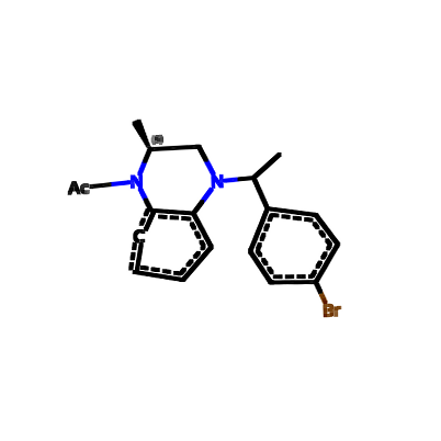 CC(=O)N1c2ccccc2N(C(C)c2ccc(Br)cc2)C[C@@H]1C